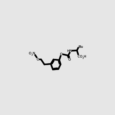 CCC(C)C(NC(=O)Oc1cccc(CCO[N+](=O)[O-])c1)C(=O)O